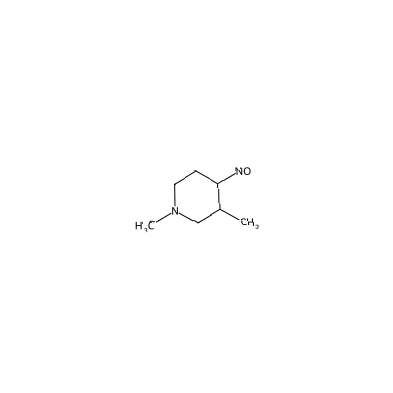 CC1CN(C)CCC1N=O